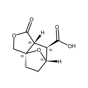 O=C(O)[C@H]1[C@@H]2CC[C@@]3(COC(=O)[C@H]13)O2